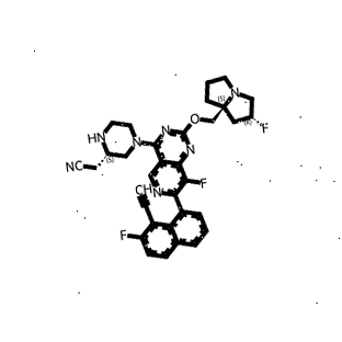 C#Cc1c(F)ccc2cccc(-c3ncc4c(N5CCN[C@@H](CC#N)C5)nc(OC[C@@]56CCCN5C[C@H](F)C6)nc4c3F)c12